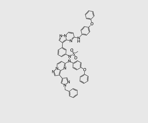 CS(=O)(=O)N(c1cccc(-c2cnn3ccc(Nc4ccc(Oc5ccccc5)cc4)nc23)c1)N(c1ccc(Oc2ccccc2)cc1)c1ccn2ncc(-c3cnn(Cc4ccccc4)c3)c2n1